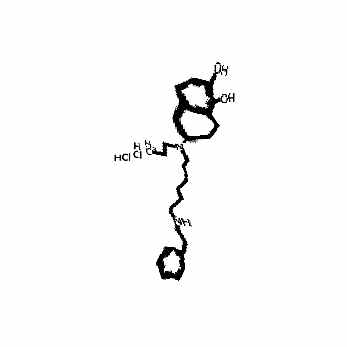 CCCN(CCCCCCNCCc1ccccc1)[C@H]1CCc2c(ccc(O)c2O)C1.Cl.Cl